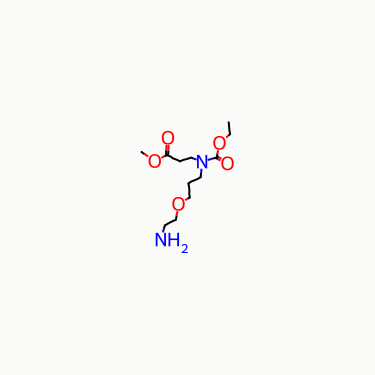 CCOC(=O)N(CCCOCCN)CCC(=O)OC